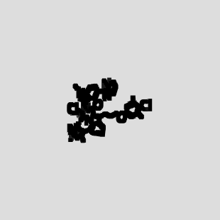 Cc1cc(OCCCc2c3n(c4c(-c5c(C)nn(C)c5C)cccc24)C(C)[C@@H](Cl)N(c2cn(C)c4ccc(-c5ncccn5)cc24)C3=O)cc(C)c1Cl